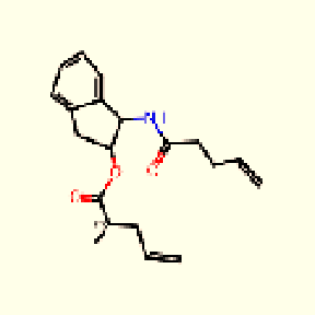 C=CCCC(=O)NC1c2ccccc2CC1OC(=O)[C@H](C)CC=C